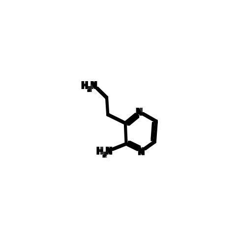 NCCc1nccnc1N